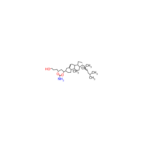 CC(C)CCC[C@@H](C)[C@H]1CCC2C3CC=C4CC(C(CCCCCO)OC(N)=O)CC[C@]4(C)C3CC[C@@]21C